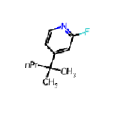 CCCC(C)(C)c1ccnc(F)c1